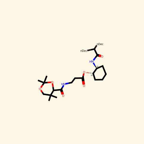 CCCCCCCCCCC(CCCCCCCCCC)C(=O)N[C@H]1CCCC[C@@H]1OC(=O)CCNC(=O)C1OC(C)(C)OCC1(C)C